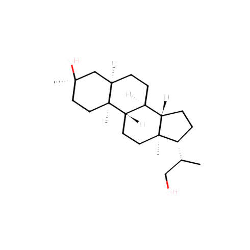 CC(CO)[C@H]1CC[C@H]2[C@@H]3CC[C@@H]4C[C@](C)(O)CC[C@]4(C)[C@H]3CC[C@]12C